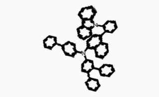 c1ccc(-c2ccc(N(c3ccc(-c4ccccc4)c(-c4ccccc4)c3)c3ccc(-c4ccccc4-n4c5ccccc5c5ccccc54)c4ccccc34)cc2)cc1